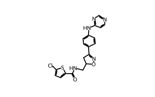 O=C(NCC1CC(c2ccc(Nc3ccncn3)cc2)=NO1)c1ccc(Cl)s1